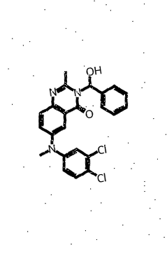 Cc1nc2ccc(N(C)c3ccc(Cl)c(Cl)c3)cc2c(=O)n1C(O)c1ccccc1